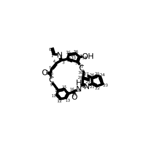 C=C/N=C1\C=C/C(=O)CCc2cccc(c2)C(=O)N/C(=N/c2ccccc2C)C(=C)CCc2cc1ccc2O